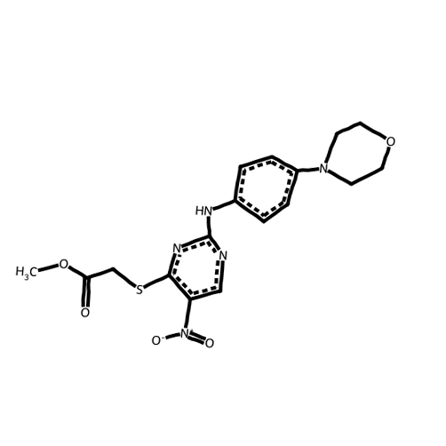 COC(=O)CSc1nc(Nc2ccc(N3CCOCC3)cc2)ncc1[N+](=O)[O-]